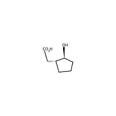 O=C(O)C[C@H]1CCC[C@@H]1O